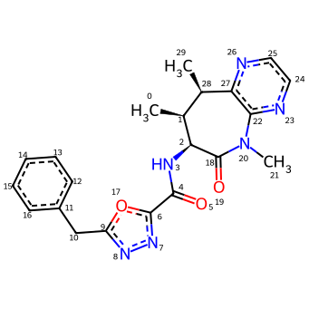 C[C@@H]1[C@H](NC(=O)c2nnc(Cc3ccccc3)o2)C(=O)N(C)c2nccnc2[C@@H]1C